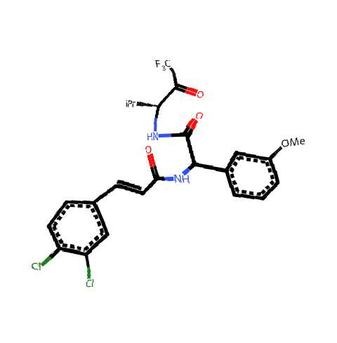 COc1cccc(C(NC(=O)/C=C/c2ccc(Cl)c(Cl)c2)C(=O)N[C@H](C(=O)C(F)(F)F)C(C)C)c1